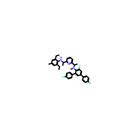 CCc1cc(C)cc(CC)c1NC(C)c1cccc(C(C)N(C)c2c(F)cc(-c3ccc(F)cc3)cc2-c2ccc(F)cc2)n1